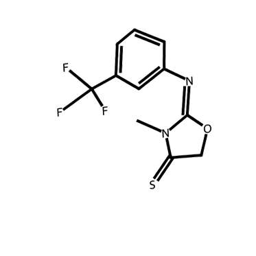 CN1C(=S)COC1=Nc1cccc(C(F)(F)F)c1